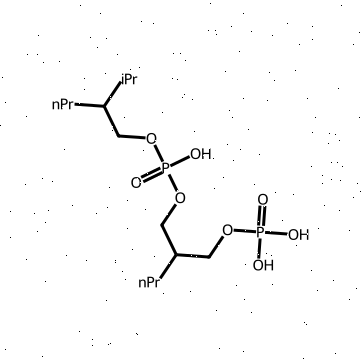 CCCC(COP(=O)(O)O)COP(=O)(O)OCC(CCC)C(C)C